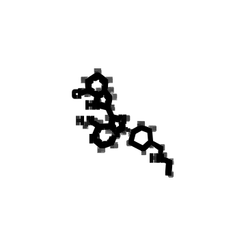 C=CNC[C@H]1CC[C@H](c2nc(-c3cc4cccc(Cl)c4[nH]3)c3c(N)nccn32)CC1